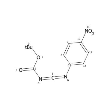 CC(C)(C)OC(=O)N=C=Nc1ccc([N+](=O)[O-])cc1